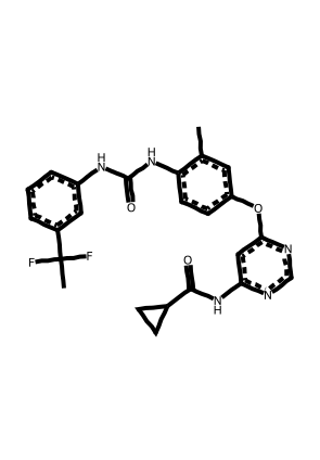 Cc1cc(Oc2cc(NC(=O)C3CC3)ncn2)ccc1NC(=O)Nc1cccc(C(C)(F)F)c1